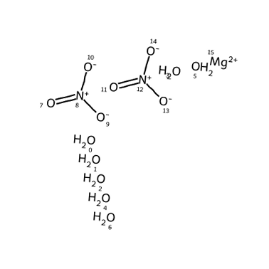 O.O.O.O.O.O.O.O=[N+]([O-])[O-].O=[N+]([O-])[O-].[Mg+2]